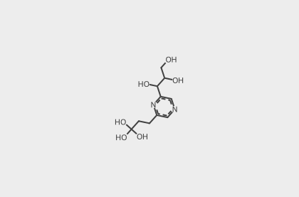 OCC(O)C(O)c1cncc(CCC(O)(O)O)n1